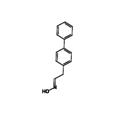 ON=CCc1ccc(-c2ccccc2)cc1